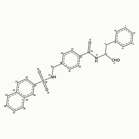 O=CC(Cc1ccccc1)NC(=O)c1ccc(CNS(=O)(=O)c2ccc3ccccc3c2)cc1